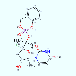 BC(B)(OP1(=O)OCc2ccccc2O1)[C@]1(F)C[C@@H](O)[C@](B)(n2ccc(=O)[nH]c2=O)O1